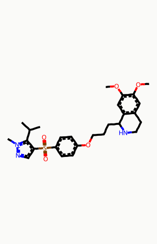 COc1cc2c(cc1OC)C(CCCOc1ccc(S(=O)(=O)c3cnn(C)c3C(C)C)cc1)NCC2